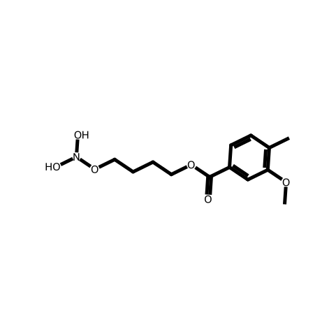 COc1cc(C(=O)OCCCCON(O)O)ccc1C